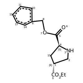 CCOC(=O)[C@H]1CN[C@H](C(=O)OCc2ccccc2)C1